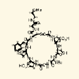 CCCC[C@@H]1NC(=O)[C@H](CS)NC(=O)[C@H](CC(=O)O)NC(=O)CSC[C@@H](C(=O)NCC(=O)NCCOC)NC(=O)[C@H](Cc2ccccc2)NC(=O)[C@H](CS)NC(=O)[C@H](CC(=O)O)NC(=O)CNC1=O